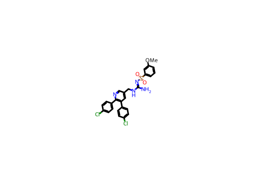 COc1cccc(S(=O)(=O)/N=C(\N)NCc2cnc(-c3ccc(Cl)cc3)c(-c3ccc(Cl)cc3)c2)c1